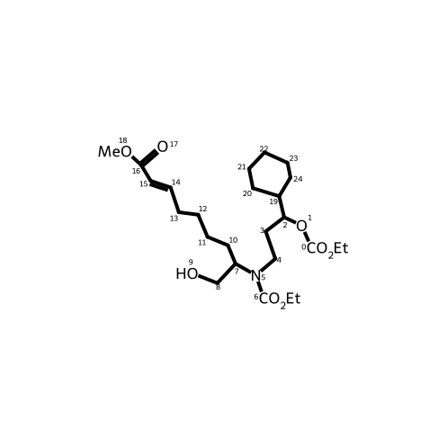 CCOC(=O)OC(CCN(C(=O)OCC)C(CO)CCCCC=CC(=O)OC)C1CCCCC1